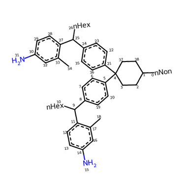 CCCCCCCCCC1CCC(c2ccc(C(CCCCCC)c3ccc(N)cc3C)cc2)(c2ccc(C(CCCCCC)c3ccc(N)cc3C)cc2)CC1